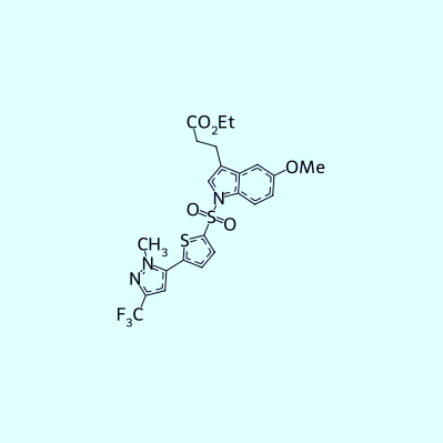 CCOC(=O)CCc1cn(S(=O)(=O)c2ccc(-c3cc(C(F)(F)F)nn3C)s2)c2ccc(OC)cc12